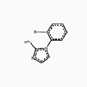 CCCc1nccn1-c1ccccc1Br